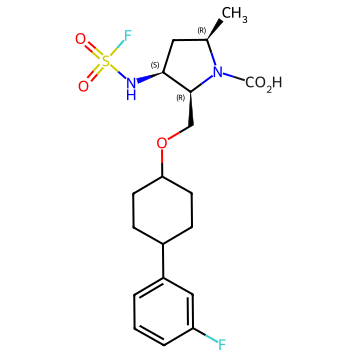 C[C@@H]1C[C@H](NS(=O)(=O)F)[C@H](COC2CCC(c3cccc(F)c3)CC2)N1C(=O)O